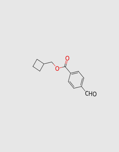 O=Cc1ccc(C(=O)OCC2CCC2)cc1